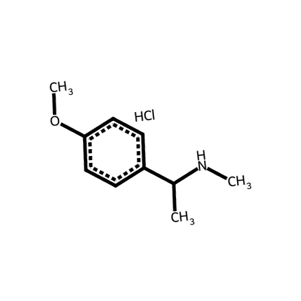 CNC(C)c1ccc(OC)cc1.Cl